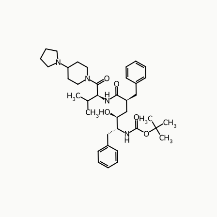 CC(C)[C@H](NC(=O)[C@@H](Cc1ccccc1)C[C@H](O)[C@@H](Cc1ccccc1)NC(=O)OC(C)(C)C)C(=O)N1CCC(N2CCCC2)CC1